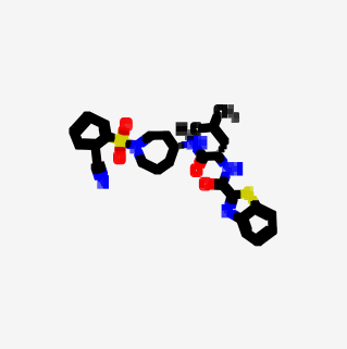 CC(C)C[C@H](NC(=O)c1nc2ccccc2s1)C(=O)N[C@@H]1CCCN(S(=O)(=O)c2ccccc2C#N)CC1